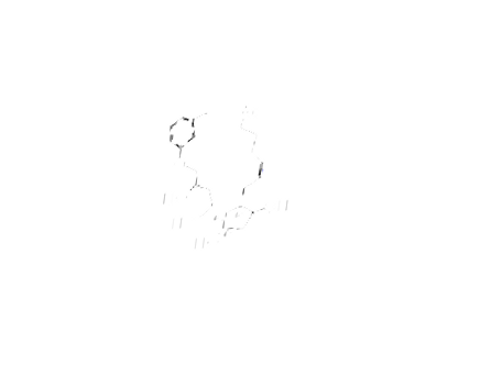 CC(=O)CCC/C=C\C[C@@H]1[C@@H](C(C)C[C@@H](O)COc2cccc(C(F)(F)F)c2)[C@H](O)C[C@@H]1O